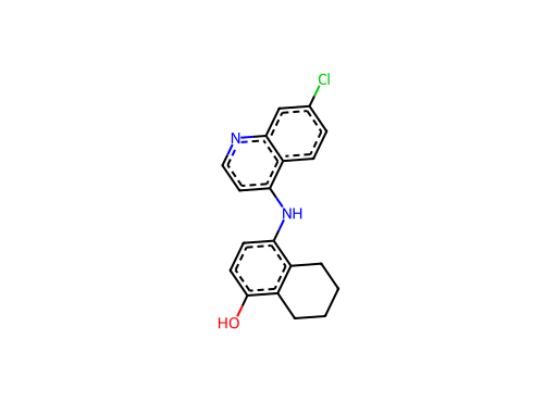 Oc1ccc(Nc2ccnc3cc(Cl)ccc23)c2c1CCCC2